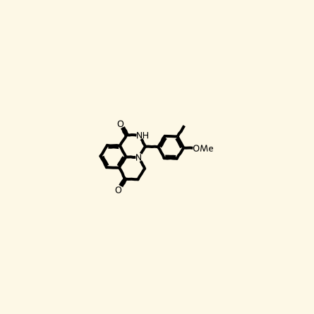 COc1ccc(C2NC(=O)c3cccc4c3N2CCC4=O)cc1C